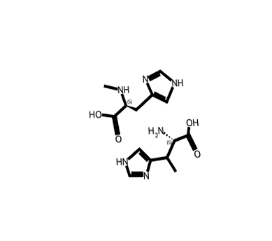 CC(c1c[nH]cn1)[C@H](N)C(=O)O.CN[C@@H](Cc1c[nH]cn1)C(=O)O